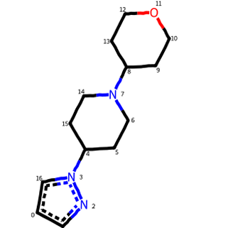 c1cnn(C2CCN(C3CCOCC3)CC2)c1